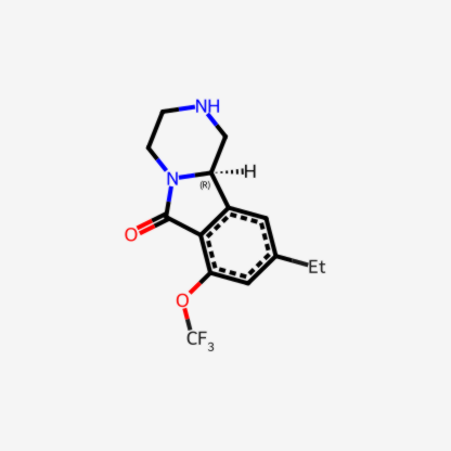 CCc1cc(OC(F)(F)F)c2c(c1)[C@@H]1CNCCN1C2=O